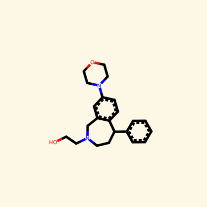 OCCN1CCC(c2ccccc2)c2ccc(N3CCOCC3)cc2C1